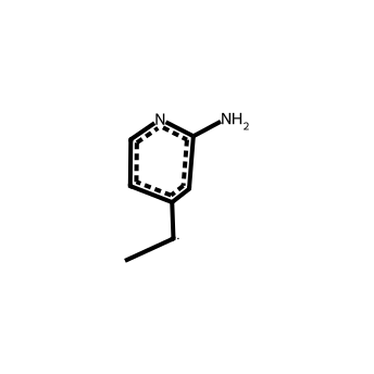 C[CH]c1ccnc(N)c1